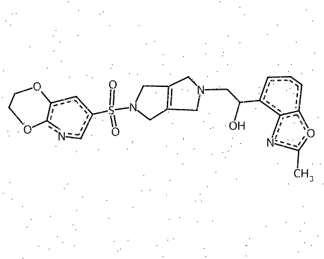 Cc1nc2c(C(O)CN3CC4=C(C3)CN(S(=O)(=O)c3cnc5c(c3)OCCO5)C4)cccc2o1